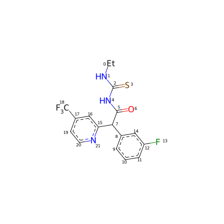 CCNC(=S)NC(=O)C(c1cccc(F)c1)c1cc(C(F)(F)F)ccn1